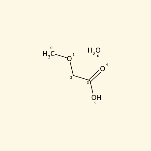 COCC(=O)O.O